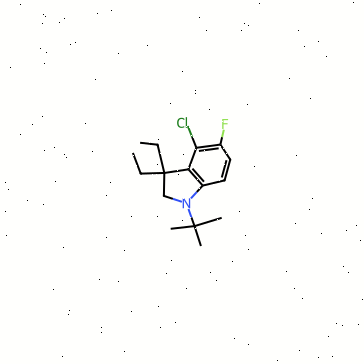 CCC1(CC)CN(C(C)(C)C)c2ccc(F)c(Cl)c21